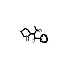 CC(=O)C(C(=O)c1ccccc1)=C1CCCCN1